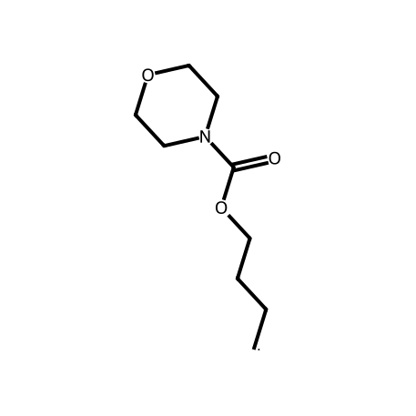 [CH2]CCCOC(=O)N1CCOCC1